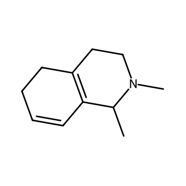 CC1C2=C(CCC=C2)CCN1C